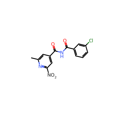 Cc1cc(C(=O)NC(=O)c2cccc(Cl)c2)cc([N+](=O)[O-])n1